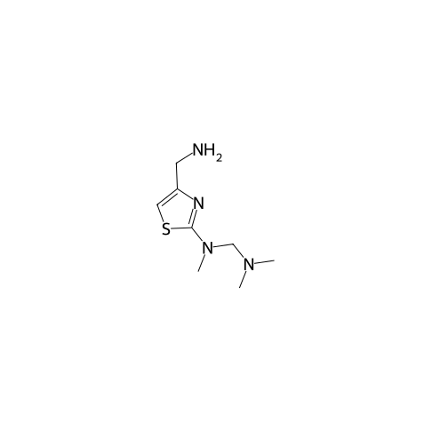 CN(C)CN(C)c1nc(CN)cs1